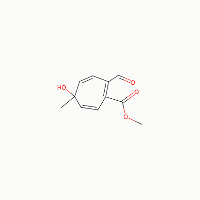 COC(=O)C1=C(C=O)C=CC(C)(O)C=C1